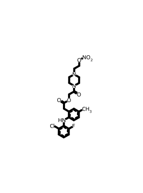 Cc1ccc(Nc2c(F)cccc2Cl)c(CC(=O)OCC(=O)N2CCN(CCO[N+](=O)[O-])CC2)c1